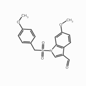 COc1ccc(CS(=O)(=O)n2cc(C=O)c3ccc(OC)cc32)cc1